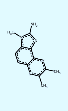 Cc1nc2ccc3c(nc(N)n3C)c2nc1C